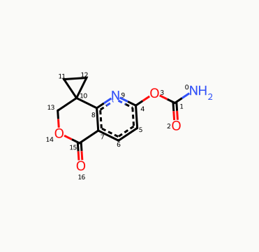 NC(=O)Oc1ccc2c(n1)C1(CC1)COC2=O